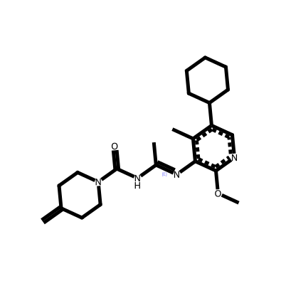 C=C1CCN(C(=O)N/C(C)=N/c2c(OC)ncc(C3CCCCC3)c2C)CC1